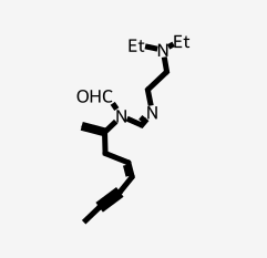 C=C(C/C=C\C#CC)N(C=O)/C=N\CCN(CC)CC